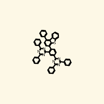 c1ccc(-c2nc(-c3ccccc3)nc(-c3ccc(-c4ccc(-c5ccccc5)c5c4sc4ccccc45)c(-c4nc(-c5ccccc5)nc(-c5ccccc5)n4)c3)n2)cc1